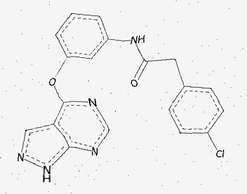 O=C(Cc1ccc(Cl)cc1)Nc1cccc(Oc2ncnc3[nH]ncc23)c1